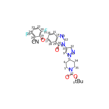 CC(C)(C)OC(=O)N1CCC(n2cc(-n3cnc4ccc(Oc5c(F)ccc(F)c5C#N)cc4c3=O)cn2)CC1